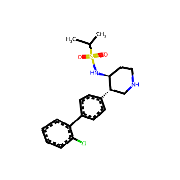 CC(C)S(=O)(=O)N[C@H]1CCNC[C@@H]1c1ccc(-c2ccccc2Cl)cc1